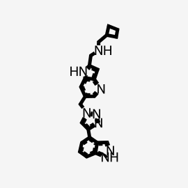 c1cc(-c2cn(Cc3cnc4cc(CNCC5CCC5)[nH]c4c3)nn2)c2cn[nH]c2c1